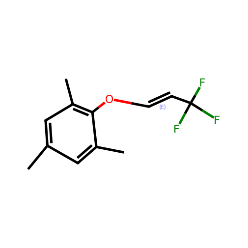 Cc1cc(C)c(O/C=C/C(F)(F)F)c(C)c1